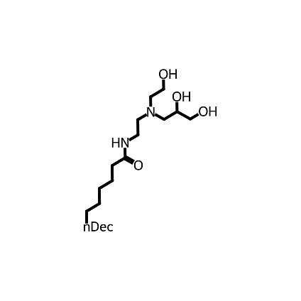 CCCCCCCCCCCCCCCC(=O)NCCN(CCO)CC(O)CO